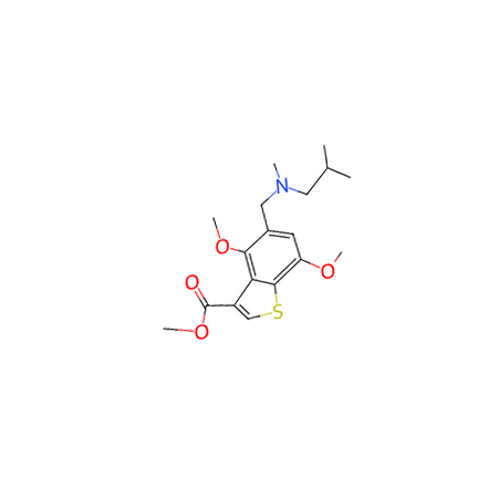 COC(=O)c1csc2c(OC)cc(CN(C)CC(C)C)c(OC)c12